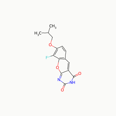 CC(C)COc1ccc2cc3c(=O)[nH]c(=O)nc-3oc2c1F